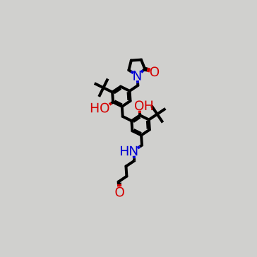 CC(C)(C)c1cc(CNCCCC=O)cc(Cc2cc(CN3CCCC3=O)cc(C(C)(C)C)c2O)c1O